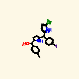 Cc1ccc(C(O)c2ccc(C(c3ccc(I)cc3)c3ccc(Br)[nH]3)[nH]2)cc1